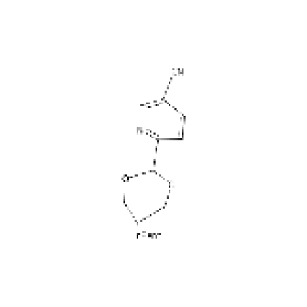 CCCCCC1COC(c2ccc(C#N)cn2)OC1